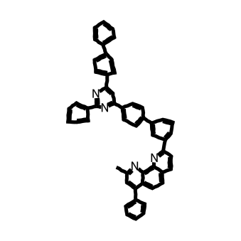 Cc1cc(-c2ccccc2)c2ccc3ccc(-c4cccc(-c5ccc(-c6cc(-c7ccc(-c8ccccc8)cc7)nc(-c7ccccc7)n6)cc5)c4)nc3c2n1